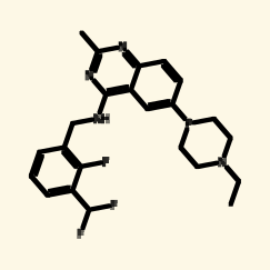 CCN1CCP(c2ccc3nc(C)nc(NCc4cccc(C(F)F)c4F)c3c2)CC1